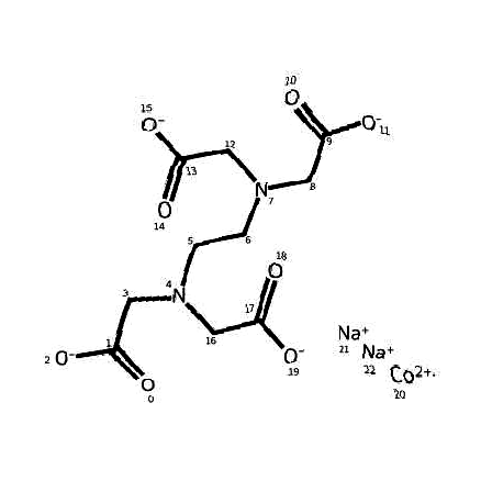 O=C([O-])CN(CCN(CC(=O)[O-])CC(=O)[O-])CC(=O)[O-].[Co+2].[Na+].[Na+]